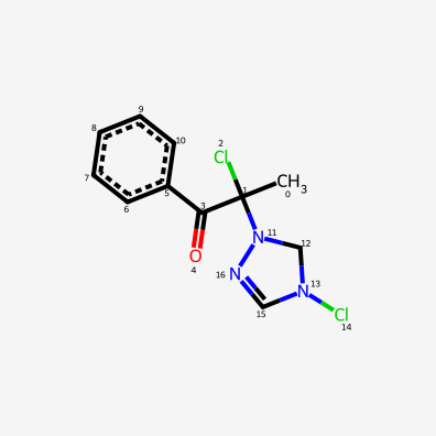 CC(Cl)(C(=O)c1ccccc1)N1CN(Cl)C=N1